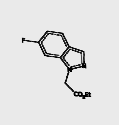 CCOC(=O)Cn1ncc2ccc(F)cc21